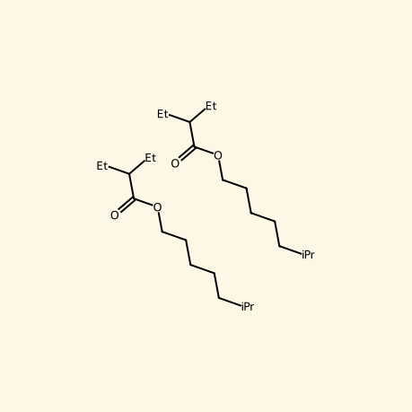 CCC(CC)C(=O)OCCCCCC(C)C.CCC(CC)C(=O)OCCCCCC(C)C